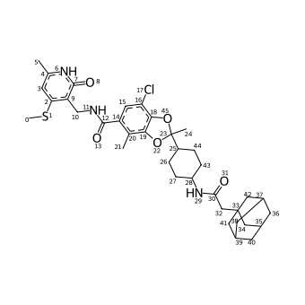 CSc1cc(C)[nH]c(=O)c1CNC(=O)c1cc(Cl)c2c(c1C)OC(C)(C1CCC(NC(=O)CC34CC5CC(CC(C5)C3)C4)CC1)O2